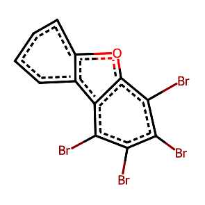 Brc1c(Br)c(Br)c2c(oc3ccccc32)c1Br